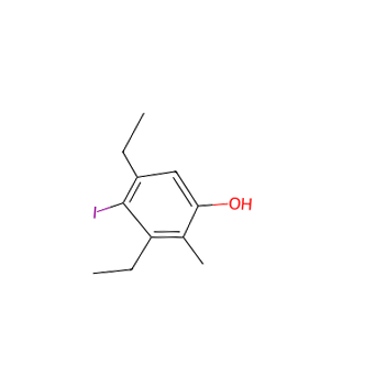 CCc1cc(O)c(C)c(CC)c1I